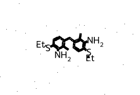 CCSc1ccc(Cc2ccc(SCC)c(N)c2C)c(C)c1N